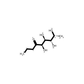 CCCC(=O)[C@H](O)[C@@H](O)[C@@H](O)[C@@H](C)O